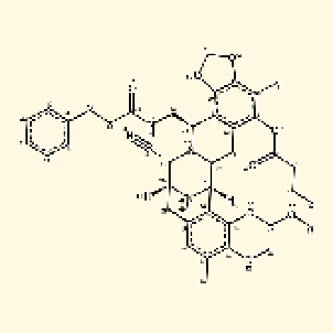 CCCC(=O)Oc1c(C)c2c(c3c1CC1[C@@H]4c5c(cc(C)c(OC)c5OCOC)C[C@H]([C@H](C#N)N1[C@H]3CNC(=O)CCc1ccccc1)N4C)OCO2